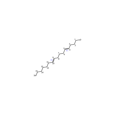 [CH2]CCC/C=C/CCC/C=C/CCCCCC